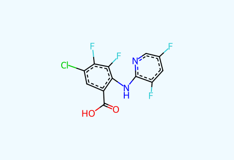 O=C(O)c1cc(Cl)c(F)c(F)c1Nc1ncc(F)cc1F